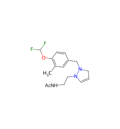 CC(=O)NCCN1C=CCN1Cc1ccc(OC(F)F)c(C)c1